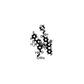 COCCNC(=O)C1=CC=C(c2nccc(C(=O)c3ccc(F)cc3F)c2N)C(C)(C)C1.Cc1cc(C(=O)NCCN2CCOCC2)ccc1-c1c(N)c(C(=O)c2ccc(F)cc2F)cc[n+]1[O-]